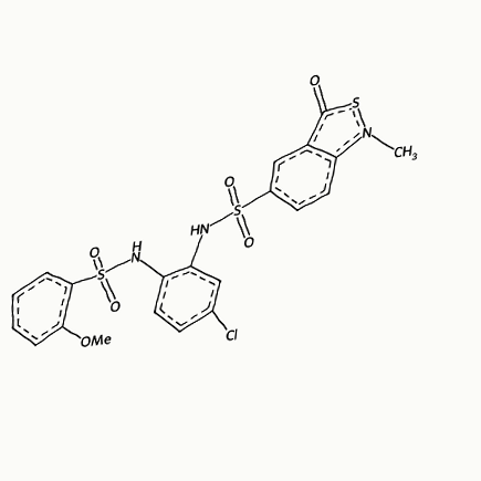 COc1ccccc1S(=O)(=O)Nc1ccc(Cl)cc1NS(=O)(=O)c1ccc2c(c1)c(=O)sn2C